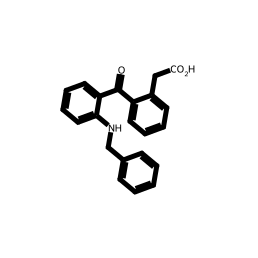 O=C(O)Cc1ccccc1C(=O)c1ccccc1NCc1ccccc1